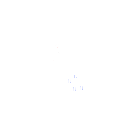 COC(=O)c1cccc(-n2cnnn2)c1C